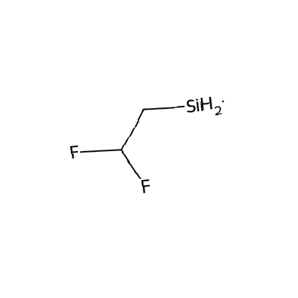 FC(F)C[SiH2]